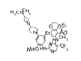 CCc1cc(Nc2ncc(C(F)(F)F)c(Nc3ccc4c(c3P(C)(C)=O)OCCO4)n2)c(OC)cc1N1CCC(N2CC(N(C)C)C2)CC1